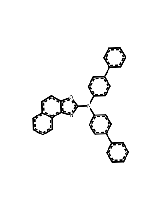 c1ccc(-c2ccc(N(c3ccc(-c4ccccc4)cc3)c3nc4c(ccc5ccccc54)o3)cc2)cc1